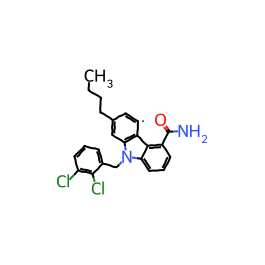 CCCCc1c[c]c2c3c(C(N)=O)cccc3n(Cc3cccc(Cl)c3Cl)c2c1